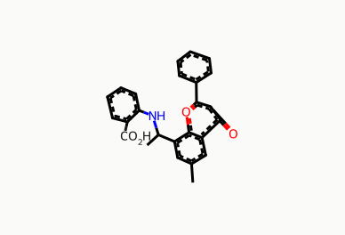 Cc1cc(C(C)Nc2ccccc2C(=O)O)c2oc(-c3ccccc3)cc(=O)c2c1